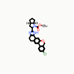 CC(C)(C)OC(=O)N1C(c2nc3c([nH]2)-c2cc4c(cc2CC3)-c2ccc(Cl)cc2CO4)C[C@@H]2CCC[C@@H]21